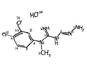 CN(C(=N)NC=NN)c1ccc(Cl)c(Cl)c1.Cl